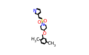 Cc1ccc(C)c(COC2CCN(S(=O)(=O)C=Cc3cccnc3)CC2)c1